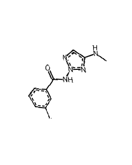 [CH2]c1cccc(C(=O)Nn2ncc(NC)n2)c1